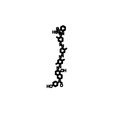 Cc1cc(N=Nc2cc(C)c(N=Nc3ccc4cc(N(C=O)c5ccc(O)cc5)ccc4c3O)cc2C)ccc1N=Nc1ccc(N=Nc2ccccc2S(=O)(=O)O)c(C)c1